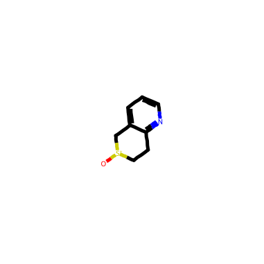 [O-][S+]1CCc2ncccc2C1